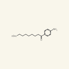 CCCCCCCCCCCCCCCCCC(=O)c1ccc(N)cc1